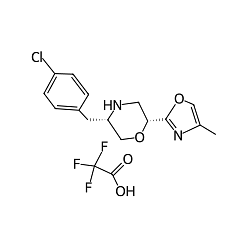 Cc1coc([C@H]2CN[C@@H](Cc3ccc(Cl)cc3)CO2)n1.O=C(O)C(F)(F)F